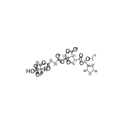 CCOC(OC(=O)C1C2OC3C(OC(=O)C31)C2OC(=O)CCC(=O)OC(C)C(F)(F)S(=O)(=O)O)C1CCCC1